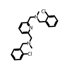 CN(Cc1cccc(CN(C)Cc2ccccc2Cl)n1)Cc1ccccc1Cl